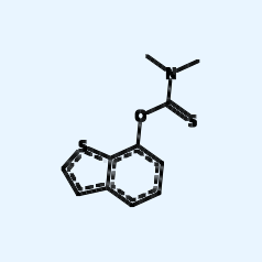 CN(C)C(=S)Oc1cccc2ccsc12